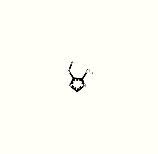 CC(=O)Nc1s[c]nc1C